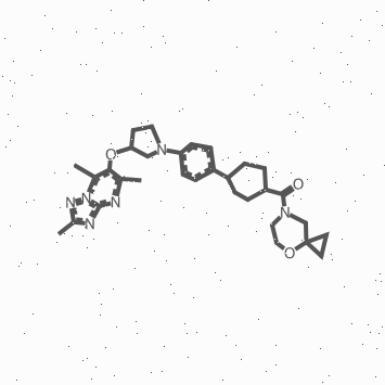 Cc1nc2nc(C)c(OC3CCN(c4ccc(C5CCC(C(=O)N6CCOC7(CC7)C6)CC5)cc4)C3)c(C)n2n1